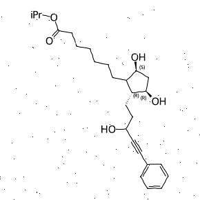 CC(C)OC(=O)CCCCCCC1[C@@H](CCC(O)C#Cc2ccccc2)[C@H](O)C[C@@H]1O